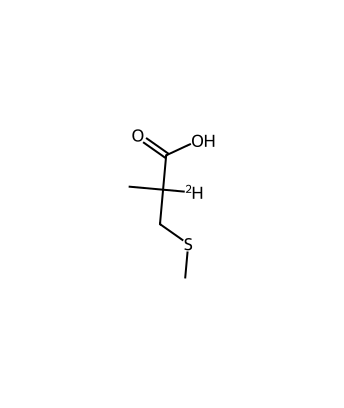 [2H]C(C)(CSC)C(=O)O